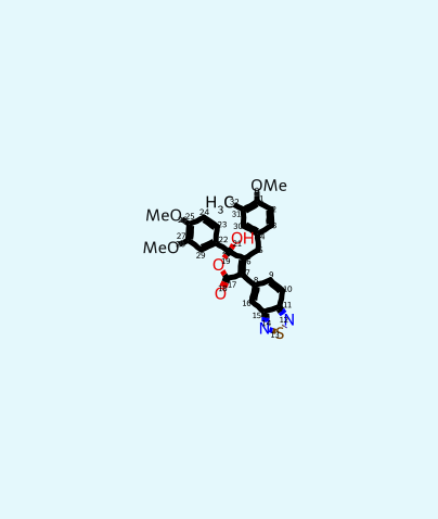 COc1ccc(CC2=C(c3ccc4nsnc4c3)C(=O)OC2(O)c2ccc(OC)c(OC)c2)cc1C